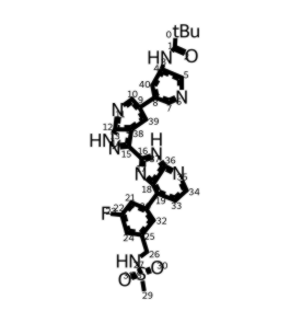 CC(C)(C)C(=O)Nc1cncc(-c2cnc3[nH]nc(-c4nc5c(-c6cc(F)cc(CNS(C)(=O)=O)c6)ccnc5[nH]4)c3c2)c1